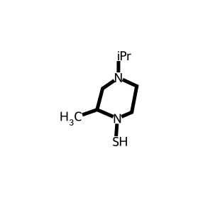 CC1CN(C(C)C)CCN1S